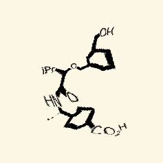 CC(C)C(OCc1cccc(CO)c1)C(=O)N[C@@H](C)c1ccc(C(=O)O)cc1